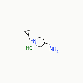 Cl.NCC1CCN(CC2CC2)CC1